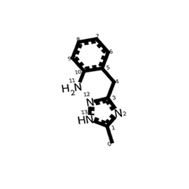 Cc1nc(Cc2ccccc2N)n[nH]1